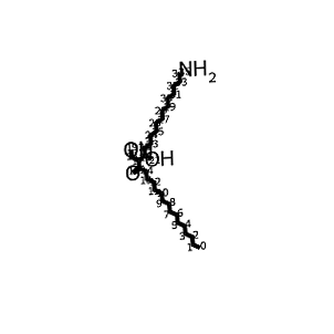 CCCCCCCCCCCCCCCC(=O)C(CO)C(O)CCCCCCCCCCCCCN